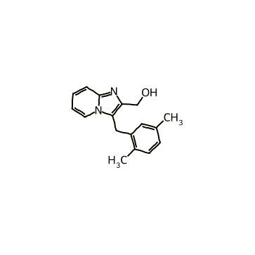 Cc1ccc(C)c(Cc2c(CO)nc3ccccn23)c1